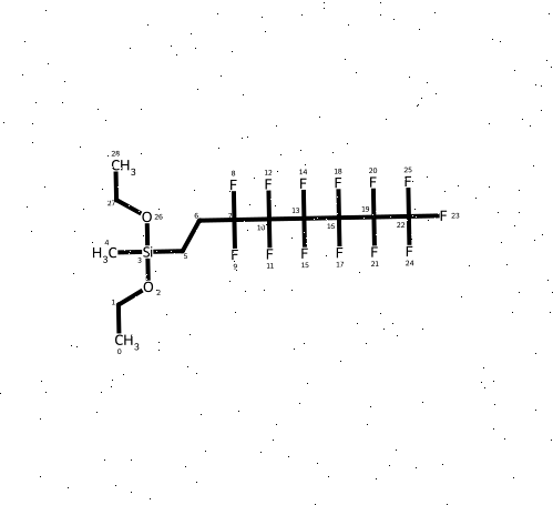 CCO[Si](C)(CCC(F)(F)C(F)(F)C(F)(F)C(F)(F)C(F)(F)C(F)(F)F)OCC